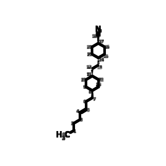 CCCC/C=C/CC[C@H]1CC[C@H](CC[C@H]2CC[C@H](C#N)CC2)CC1